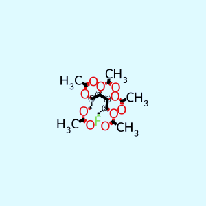 CC(=O)OC[C@H](OC(C)=O)[C@@H](OC(C)=O)[C@H](OC(C)=O)[C@@H](CF)OC(C)=O